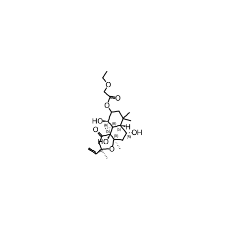 C=C[C@@]1(C)CC(=O)[C@]2(O)[C@@]3(C)[C@@H](O)C(OC(=O)COCC)CC(C)(C)[C@@H]3[C@H](O)C[C@@]2(C)O1